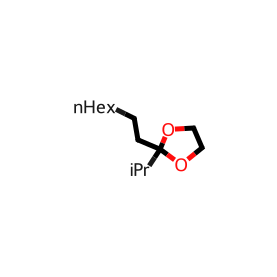 CCCCCCCCC1(C(C)C)OCCO1